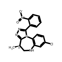 C[C@@H]1CNc2cc(Cl)ccc2-n2c(-c3ccccc3[N+](=O)[O-])nnc21